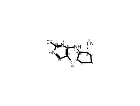 N#C[C@@H]1CCCC[C@H]1Nc1nc(Cl)ncc1Cl